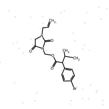 C=CCN1CC(=O)N(COC(=O)C(c2ccc(Br)cc2)C(C)C)C1=O